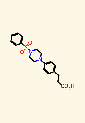 O=C(O)CCc1ccc(N2CCN(S(=O)(=O)c3ccccc3)CC2)cc1